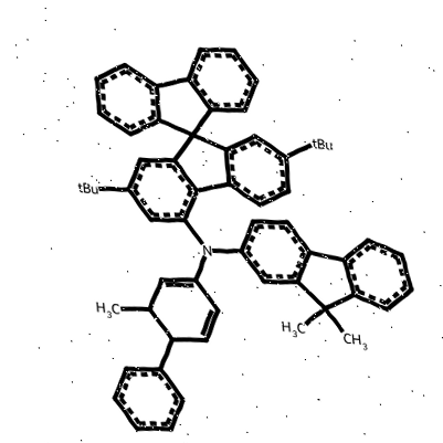 CC1C=C(N(c2ccc3c(c2)C(C)(C)c2ccccc2-3)c2cc(C(C)(C)C)cc3c2-c2ccc(C(C)(C)C)cc2C32c3ccccc3-c3ccccc32)C=CC1c1ccccc1